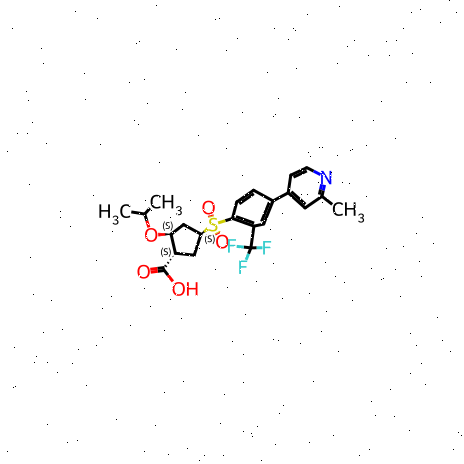 Cc1cc(-c2ccc(S(=O)(=O)[C@@H]3C[C@H](OC(C)C)[C@@H](C(=O)O)C3)c(C(F)(F)F)c2)ccn1